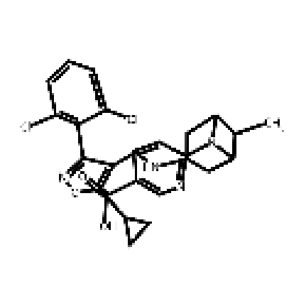 CC1C2CC(NCc3c(-c4c(Cl)cccc4Cl)noc3C3CC3)CC1N2c1ccc(C(=O)O)cn1